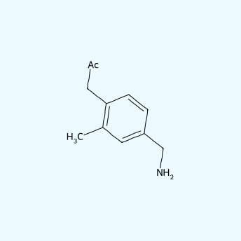 CC(=O)Cc1ccc(CN)cc1C